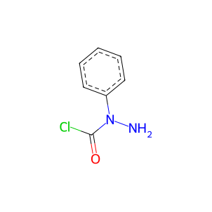 NN(C(=O)Cl)c1ccccc1